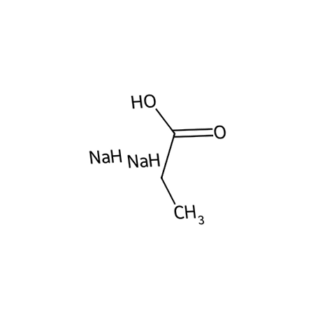 CCC(=O)O.[NaH].[NaH]